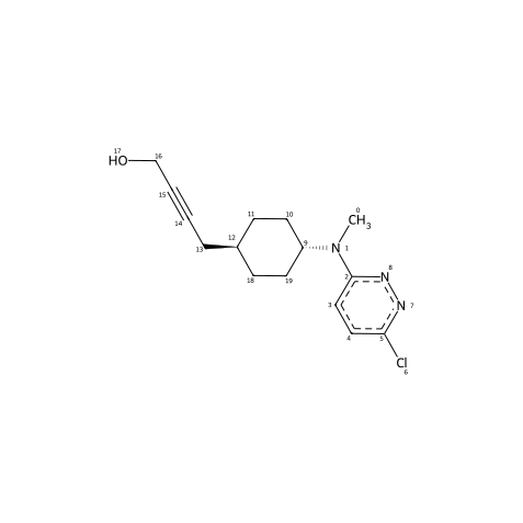 CN(c1ccc(Cl)nn1)[C@H]1CC[C@H](CC#CCO)CC1